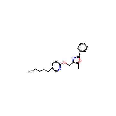 Cc1oc(-c2ccccc2)nc1COc1ccc(CCCCC#N)cn1